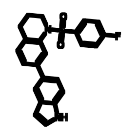 O=S(=O)(c1ccc(F)cc1)N1CCCc2ccc(-c3ccc4[nH]ccc4c3)cc21